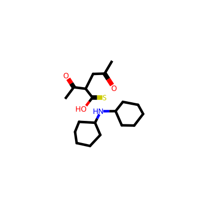 C1CCC(NC2CCCCC2)CC1.CC(=O)CC(C(C)=O)C(O)=S